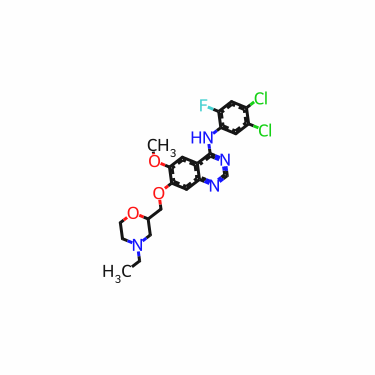 CCN1CCOC(COc2cc3ncnc(Nc4cc(Cl)c(Cl)cc4F)c3cc2OC)C1